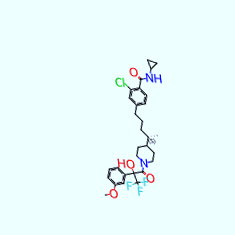 COc1cccc(C(O)(C(=O)N2CCC([C@@H](C)CCCc3ccc(C(=O)NC4CC4)c(Cl)c3)CC2)C(F)(F)F)c1